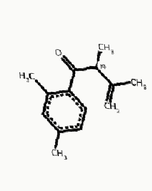 C=C(C)[C@H](C)C(=O)c1ccc(C)cc1C